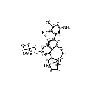 COC1(COc2nc3c4c(nc(-c5cc(N)cc(Cl)c5C(F)(F)F)c(F)c4n2)OCC[C@@H]2[C@@H]4CC[C@H](CN32)N4)COC1